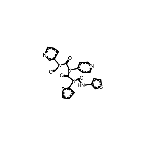 O=[C]N(C(=O)N(C(=O)N(C(=O)Nc1ccsc1)c1cccs1)c1ccncc1)c1cccnc1